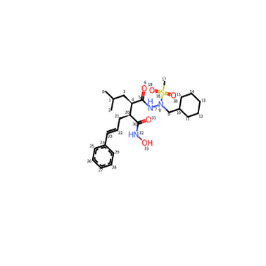 CC(C)C[C@@H](C(=O)NN(CC1CCCCC1)S(C)(=O)=O)[C@H](CC=Cc1ccccc1)C(=O)NO